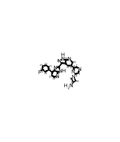 NC1CN(c2cncc(-c3cnc4[nH]nc(-c5nc6c(-c7cccc(F)c7)ccnc6[nH]5)c4c3)n2)C1